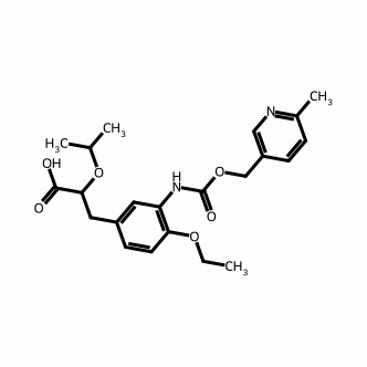 CCOc1ccc(CC(OC(C)C)C(=O)O)cc1NC(=O)OCc1ccc(C)nc1